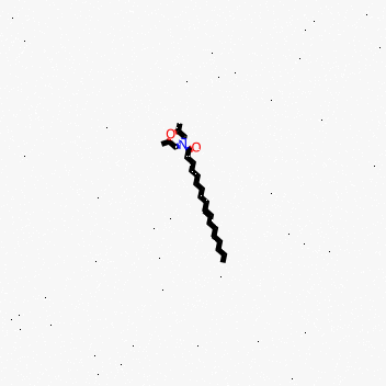 CCCCCCCC=CCCCCCCCCC(=O)N1CC(C)OC(C)C1